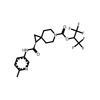 Cc1ccc(NC(=O)[C@H]2CC23CCN(C(=O)OC(C(F)(F)F)C(F)(F)F)CC3)cn1